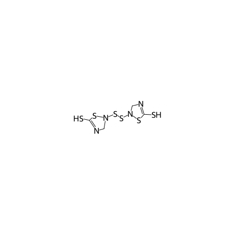 SC1=NCN(SSN2CN=C(S)S2)S1